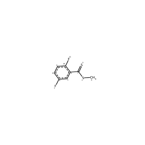 CSC(=S)c1cc(F)ccc1F